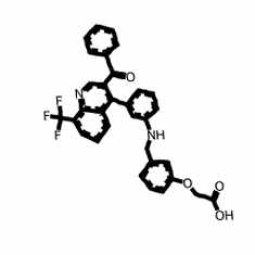 O=C(O)COc1cccc(CNc2cccc(-c3c(C(=O)c4ccccc4)cnc4c(C(F)(F)F)cccc34)c2)c1